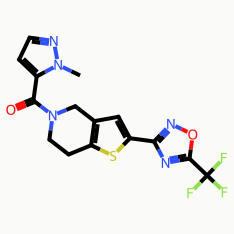 Cn1nccc1C(=O)N1CCc2sc(-c3noc(C(F)(F)F)n3)cc2C1